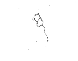 FCCCc1ccc2occc2c1